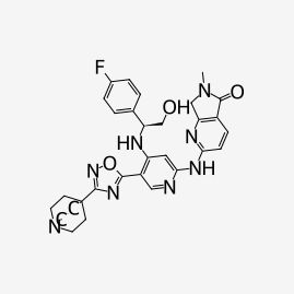 CN1Cc2nc(Nc3cc(N[C@H](CO)c4ccc(F)cc4)c(-c4nc(C56CCN(CC5)CC6)no4)cn3)ccc2C1=O